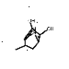 CC1Cc2[nH]c1c(O)c2O